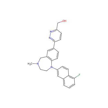 CN1CCN(c2ccc3c(F)cccc3c2)c2ccc(-c3ccc(CO)nn3)cc2C1